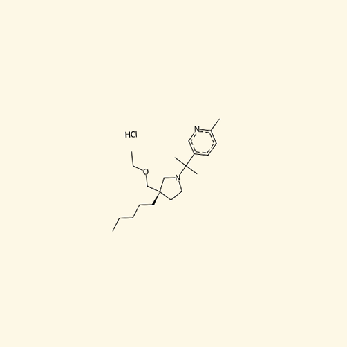 CCCCC[C@]1(COCC)CCN(C(C)(C)c2ccc(C)nc2)C1.Cl